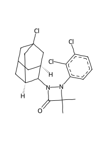 CC1(C)C(=O)N(C2[C@H]3CC4C[C@H]2CC(Cl)(C4)C3)N1c1cccc(Cl)c1Cl